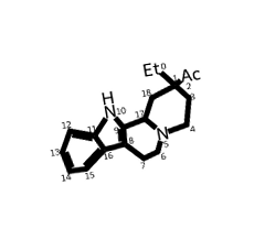 CCC1(C(C)=O)CCN2CCc3c([nH]c4ccccc34)C2C1